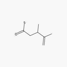 C=C(C)C(C)CC(=O)[S]